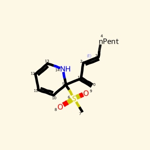 C=C(/C=C/CCCCC)C1(S(C)(=O)=O)C=CC=CN1